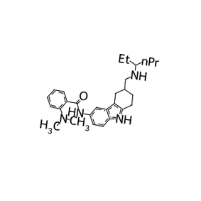 CCCC(CC)NCC1CCc2[nH]c3ccc(NC(=O)c4ccccc4N(C)C)cc3c2C1